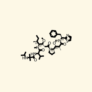 CC[C@H](C)[C@@H]([C@@H](CC(=O)N1CCC[C@H]1[C@H](OC)[C@@H](C)C(=O)N[C@@H](Cc1ccccc1)c1nccs1)OC)N(C)C(=O)C(NC(=O)C(C)(C)NC(C)C)C(C)C